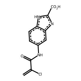 C=C(Cl)C(=O)Nc1ccc2[nH]c(C(=O)O)nc2c1